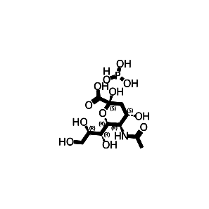 CC(=O)N[C@H]1[C@H]([C@H](O)[C@H](O)CO)O[C@](O)(C(=O)O)C[C@@H]1O.OP(O)O